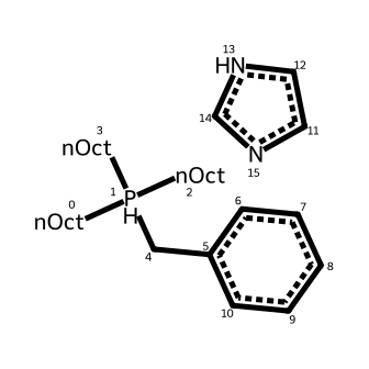 CCCCCCCC[PH](CCCCCCCC)(CCCCCCCC)Cc1ccccc1.c1c[nH]cn1